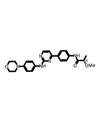 CO[C@H](C)C(=O)Nc1ccc(-c2ccnc(Nc3ccc(N4CCOCC4)cc3)n2)cc1